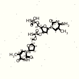 Cc1cn([C@H]2C[C@@H](OP(=O)(S)OC[C@@H]3CC[C@H](n4cc(C)c(=O)[nH]c4=O)O3)[C@@H](COP(=O)(O)S)O2)c(=O)nc1N